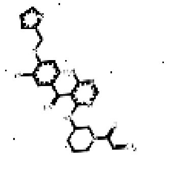 C=CC(=O)N1CCCC(Nc2ncnc(N)c2C(=N)c2ccc(OCc3cccs3)c(Cl)c2)C1